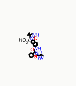 Cn1nccc1C(=O)N[C@H](C(=O)Nc1ccc2c(c1)CC(C(=O)O)(N1CC3(CC3)CNC1=O)C2)C1CCCCC1